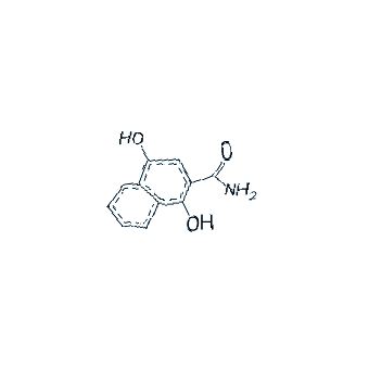 NC(=O)c1cc(O)c2ccccc2c1O